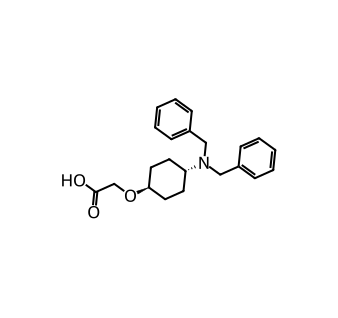 O=C(O)CO[C@H]1CC[C@H](N(Cc2ccccc2)Cc2ccccc2)CC1